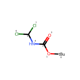 CC(C)(C)OC(=O)NC(Cl)Cl